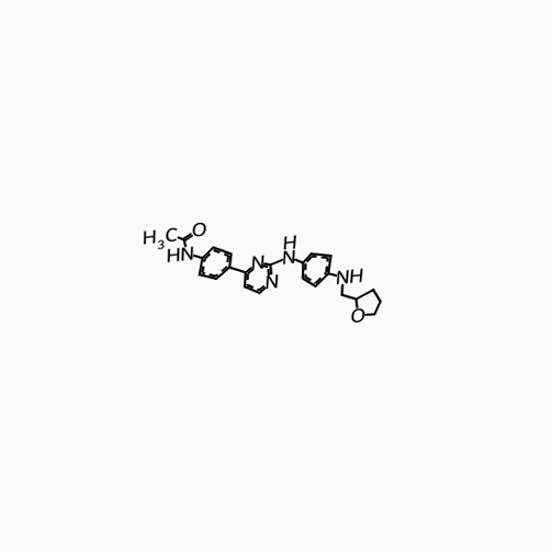 CC(=O)Nc1ccc(-c2ccnc(Nc3ccc(NCC4CCCO4)cc3)n2)cc1